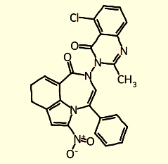 Cc1nc2cccc(Cl)c2c(=O)n1N1C=C(c2ccccc2)n2c([N+](=O)[O-])cc3c2C(=CCC3)C1=O